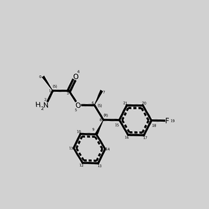 C[C@H](N)C(=O)O[C@@H](C)[C@H](c1ccccc1)c1ccc(F)cc1